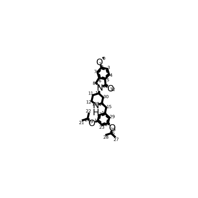 COc1ccc2c(c1)CN(C1CCNC(Cc3cc(OC(C)C)cc(OC(C)C)c3)C1)C2=O